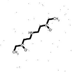 CC[S+]([O-])CCNCC[S+]([O-])CC